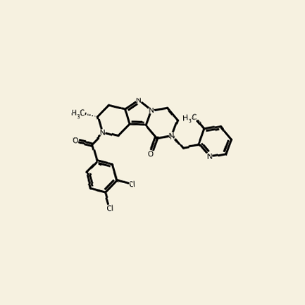 Cc1cccnc1CN1CCn2nc3c(c2C1=O)CN(C(=O)c1ccc(Cl)c(Cl)c1)[C@H](C)C3